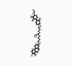 CCOc1ccc(-c2ccc(OCCCCC(C=O)CCCCOc3ccc(-c4ccc(C)c(F)c4F)c(F)c3)cc2F)c(F)c1F